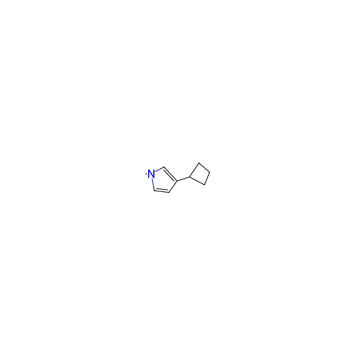 C1=CC(C2CCC2)=C[N]1